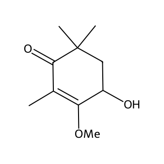 COC1=C(C)C(=O)C(C)(C)CC1O